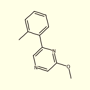 COc1cncc(-c2ccccc2C)n1